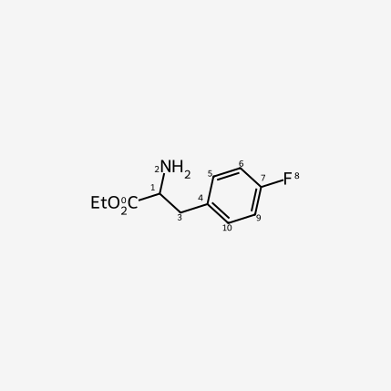 CCOC(=O)C(N)Cc1ccc(F)cc1